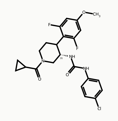 COc1cc(F)c(C2CCN(C(=O)C3CC3)C[C@H]2NC(=O)Nc2ccc(Cl)cc2)c(F)c1